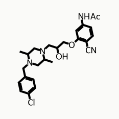 CC(=O)Nc1ccc(C#N)c(OCC(O)CN2CC(C)N(Cc3ccc(Cl)cc3)CC2C)c1